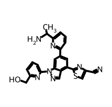 CC(N)c1cccc(-c2cc(-c3nc(C#N)cs3)c3cnn(-c4cccc(CO)n4)c3c2)n1